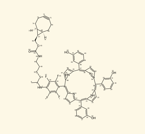 CC(Nc1c(F)c(F)c(-c2c3nc(c(-c4cccc(O)c4)c4ccc([nH]4)c(-c4cccc(O)c4)c4nc(c(-c5cccc(O)c5)c5ccc2[nH]5)C=C4)C=C3)c(F)c1F)SSCCNC(=O)OC[C@@H]1[C@@H]2CCC#CCC[C@@H]21